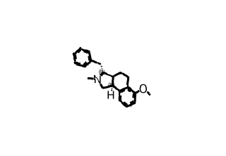 COc1cccc2c1CCC1[C@@H]2CN(C)[C@@H]1Cc1ccccc1